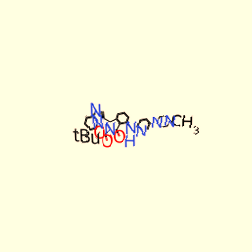 CN1CCN(c2ccc(Nc3cccc4c3C(=O)N(C(=O)OC(C)(C)C)C4c3cnc4ccccn34)nc2)CC1